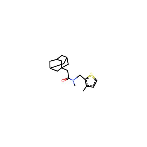 Cc1ccsc1CN(C)C(=O)CC12CC3CC(CC(C3)C1)C2